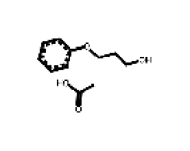 CC(=O)O.OCCCOc1ccccc1